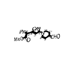 COC(=O)C(c1cc(N2CCC(C=O)CC2)no1)C(C)C